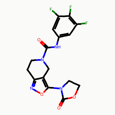 O=C(Nc1cc(F)c(F)c(F)c1)N1CCc2noc(N3CCOC3=O)c2C1